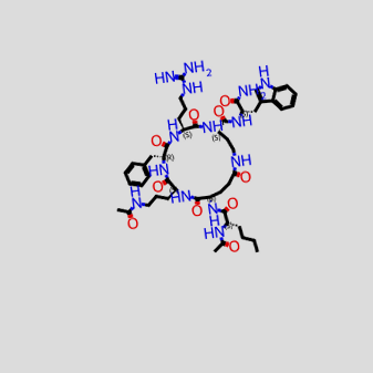 CCCC[C@H](NC(C)=O)C(=O)N[C@H]1CCC(=O)NCC[C@@H](C(=O)N[C@@H](Cc2c[nH]c3ccccc23)C(N)=O)NC(=O)[C@H](CCCNC(=N)N)NC(=O)[C@@H](Cc2ccccc2)NC(=O)[C@H](CCCNC(C)=O)NC1=O